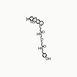 CN(C)c1ccc2c(c1)[SH]=c1cc3c(cc1=N2)CCCN3CCCC(=O)NCCOCCCC(=O)NCCc1ccc(O)cc1